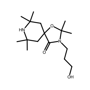 CC1(C)CC2(CC(C)(C)N1)OC(C)(C)N(CCCO)C2=O